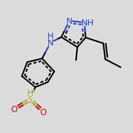 CC=Cc1[nH]nc(Nc2ccc([SH](=O)=O)cc2)c1C